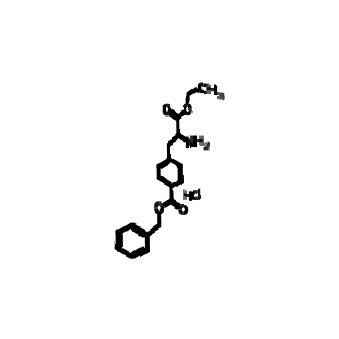 CCOC(=O)C(N)Cc1ccc(C(=O)OCc2ccccc2)cc1.Cl